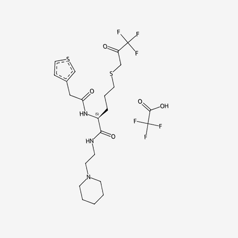 O=C(Cc1ccsc1)N[C@@H](CCCSCC(=O)C(F)(F)F)C(=O)NCCN1CCCCC1.O=C(O)C(F)(F)F